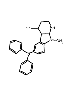 CCCC1CCNC2C1c1cc(N(c3ccccc3)c3ccccc3)ccc1N2N